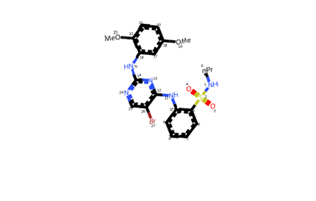 CCCNS(=O)(=O)c1ccccc1Nc1nc(Nc2cc(OC)ccc2OC)ncc1Br